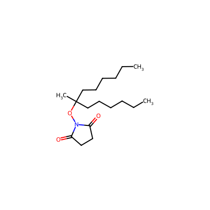 CCCCCCC(C)(CCCCCC)ON1C(=O)CCC1=O